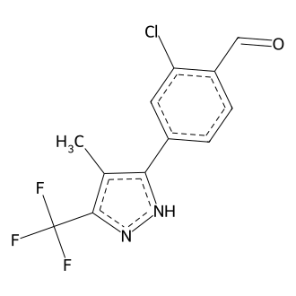 Cc1c(C(F)(F)F)n[nH]c1-c1ccc(C=O)c(Cl)c1